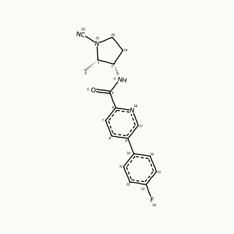 C[C@H]1[C@@H](NC(=O)c2ccc(-c3ccc(F)cc3)cn2)CCN1C#N